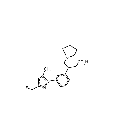 Cc1cc(CF)nn1-c1cccc(C(CC(=O)O)CN2CCCC2)c1